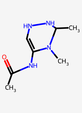 CC(=O)NC1=CNNC(C)N1C